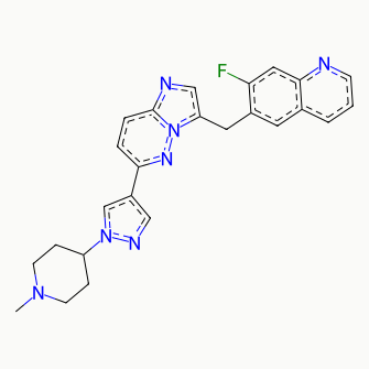 CN1CCC(n2cc(-c3ccc4ncc(Cc5cc6cccnc6cc5F)n4n3)cn2)CC1